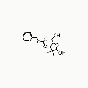 C[C@]1(F)[C@H](O)O[C@H](CO)[C@H]1OC(=O)OCc1ccccc1